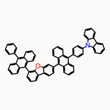 c1ccc(-c2c3ccccc3c(-c3cccc4c3oc3cc(-c5c6ccccc6c(-c6ccc(-n7c8ccccc8c8ccccc87)cc6)c6ccccc56)ccc34)c3ccccc23)cc1